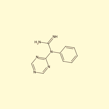 N=C(N)N(c1ccccc1)c1ncncn1